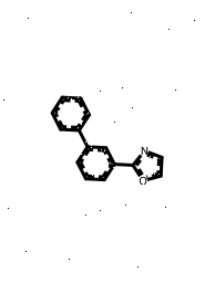 c1ccc(-c2cccc(-c3ncco3)c2)cc1